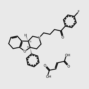 O=C(CCCN1CC[C@@]2(c3ccccc3)OC3=C(C=CCC3)[C@H]2C1)c1ccc(F)cc1.O=C(O)C=CC(=O)O